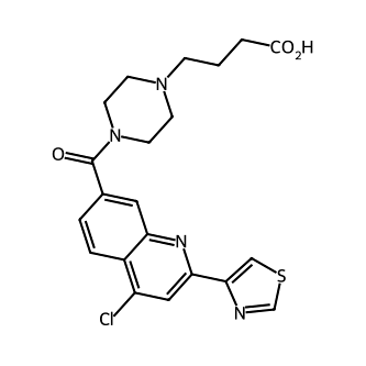 O=C(O)CCCN1CCN(C(=O)c2ccc3c(Cl)cc(-c4cscn4)nc3c2)CC1